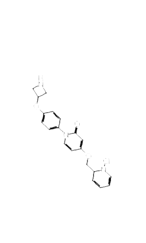 O=c1cc(OCC2C=CC=CN2Cl)ccn1-c1ccc(OC2CNC2)cc1